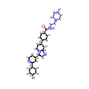 CN1CCN(CCNC(=O)c2ccc(-c3ccn4c(-c5ccnc(-c6ccc(F)cc6)c5)cnc4c3)cc2)CC1